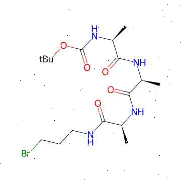 C[C@H](NC(=O)OC(C)(C)C)C(=O)N[C@@H](C)C(=O)N[C@@H](C)C(=O)NCCCBr